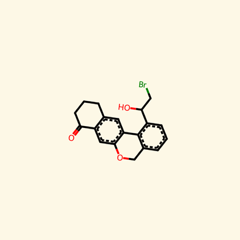 O=C1CCCc2cc3c(cc21)OCc1cccc(C(O)CBr)c1-3